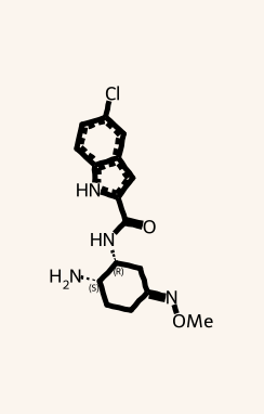 CON=C1CC[C@H](N)[C@H](NC(=O)c2cc3cc(Cl)ccc3[nH]2)C1